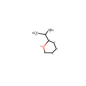 CCCCC(C)C1CCCCO1